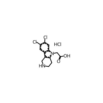 Cl.O=C(O)Cn1c2c(c3cc(Cl)c(Cl)cc31)CNCC2